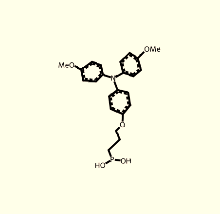 COc1ccc(N(c2ccc(OC)cc2)c2ccc(OCCCP(O)O)cc2)cc1